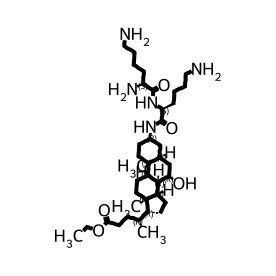 CCOC(=O)CC[C@@H](C)[C@H]1CC[C@H]2[C@@H]3[C@H](O)C[C@@H]4C[C@H](NC(=O)[C@H](CCCCN)NC(=O)[C@@H](N)CCCCN)CC[C@]4(C)[C@H]3CC[C@]12C